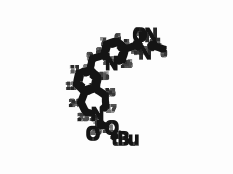 Cc1noc(-c2ccc(Cc3ccc4c(c3)CCN(C(=O)OC(C)(C)C)CC4)nc2)n1